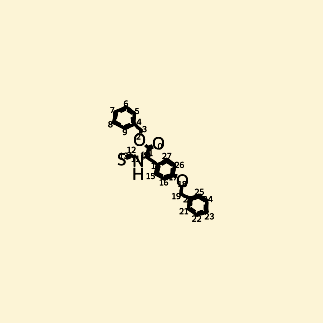 O=C(OCc1ccccc1)[C@@H](NC=S)c1ccc(OCc2ccccc2)cc1